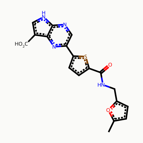 Cc1ccc(CNC(=O)c2ccc(-c3cnc4[nH]cc(C(=O)O)c4n3)s2)o1